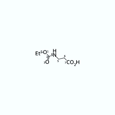 CCOC(=O)NCCC(=O)O